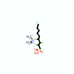 CNC.O=S(=O)(O)CC(F)C(F)C(F)CCCCCF